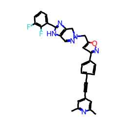 Cc1cc(C#Cc2ccc(-c3cc(CN4Cc5nc(-c6cccc(F)c6F)[nH]c5C=N4)on3)cc2)cc(C)n1